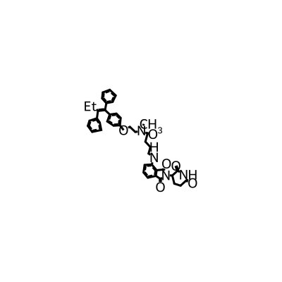 CC/C(=C(\c1ccccc1)c1ccc(OCCN(C)C(=O)CCCNc2cccc3c2C(=O)N(C2CCC(=O)NC2=O)C3=O)cc1)c1ccccc1